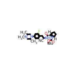 CC1CN(c2ccc(C[C@@H](C#N)NC(=O)[C@@H]3[C@H]4CC[C@H](C4)N3C(=O)OC(C)(C)C)c(F)c2)C(C)CN1C